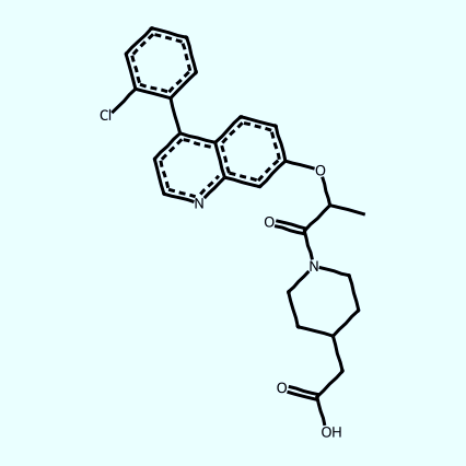 CC(Oc1ccc2c(-c3ccccc3Cl)ccnc2c1)C(=O)N1CCC(CC(=O)O)CC1